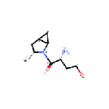 N#C[C@@H]1CC2CC2N1C(=O)[C@H](N)CCO